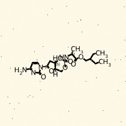 CCC(CC)COC(=O)[C@H](C)NP1(=O)OC[C@H]2O[C@@H](n3ccc(N)nc3=O)C[C@@H]2O1